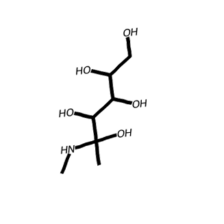 CNC(C)(O)C(O)C(O)C(O)CO